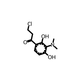 CN(C)c1c(O)ccc(C(=O)CCCl)c1O